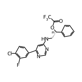 O=C(O[C@@H](CNc1cc(-c2ccc(Cl)c(F)c2)ncn1)c1ccccc1)C(F)(F)F